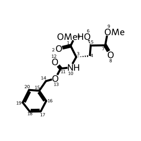 COC(=O)[C@H](C[C@H](O)C(=O)OC)NC(=O)OCc1ccccc1